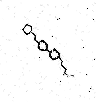 COCCCSc1ccc(-c2ccc(CCN3CCCC3)cc2)cc1